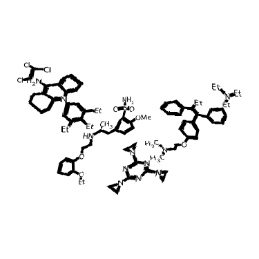 C1CN1c1nc(N2CC2)nc(N2CC2)n1.CC/C(=C(\c1ccccc1)c1ccc(OCCN(C)C)cc1)c1ccccc1.CCN(CC)CC.CCOc1ccccc1OCCN[C@H](C)Cc1ccc(OC)c(S(N)(=O)=O)c1.CCc1cccc(CC)c1CC.ClC=C(Cl)Cl.Nc1c2c(nc3ccccc13)CCCC2